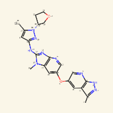 Cc1n[nH]c2ncc(Oc3cnc4nc(Nc5cc(C(C)(C)C)n([C@@H]6CCOC6)n5)n(C)c4c3)cc12